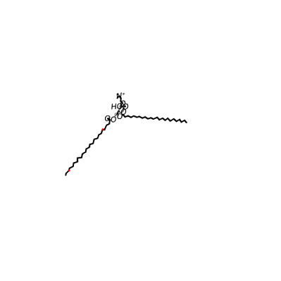 CCCCCCCCCCCCCCCCCCCCCCCC(=O)OC[C@H](COP(=O)(O)OCC[N+](C)(C)C)OC(=O)CCCCCCCCCCCCCCCCCCCCCCC